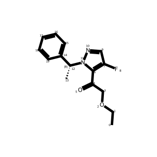 CCOCC(=O)c1c(F)cnn1[C@H](C)c1ccccc1